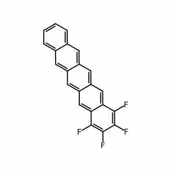 Fc1c(F)c(F)c2cc3cc4cc5ccccc5cc4cc3cc2c1F